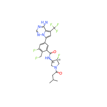 CC(C)CC(=O)N1C[C@H](F)[C@H](NC(=O)c2cc(-c3cc(C(F)(F)F)c4c(N)ncnn34)cc(F)c2CF)C1